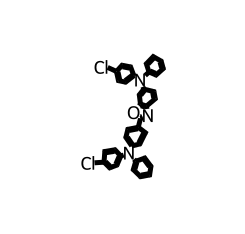 Clc1ccc(N(c2ccccc2)c2ccc(-c3nc4ccc(N(c5ccccc5)c5ccc(Cl)cc5)cc4o3)cc2)cc1